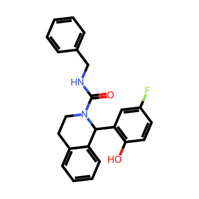 O=C(NCc1ccccc1)N1CCc2ccccc2C1c1cc(F)ccc1O